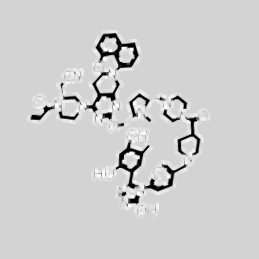 C=CC(=O)N1CCN(c2nc(OC[C@@H]3CC[C@H](CN4CCN(C(=O)C5CCN(Cc6ccc(-n7c(O)nnc7-c7cc(C)c(O)cc7O)cc6)CC5)CC4)N3C)nc3c2CCN(c2cccc4cccc(Cl)c24)C3)C[C@@H]1CC#N